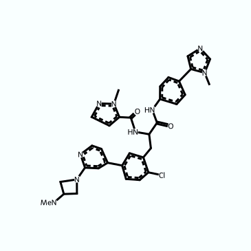 CNC1CN(c2cc(-c3ccc(Cl)c(CC(NC(=O)c4ccnn4C)C(=O)Nc4ccc(-c5cncn5C)cc4)c3)ccn2)C1